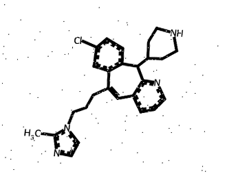 Cc1nccn1CCCC1=Cc2cccnc2C(C2CCNCC2)c2ccc(Cl)cc21